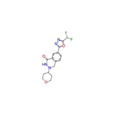 O=C1NN(C2CCOCC2)Cc2ccc(-c3nnc(C(F)F)o3)cc21